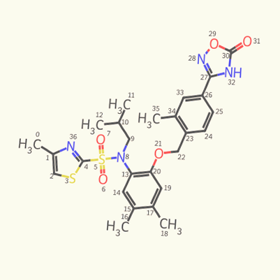 Cc1csc(S(=O)(=O)N(CC(C)C)c2cc(C)c(C)cc2OCc2ccc(-c3noc(=O)[nH]3)cc2C)n1